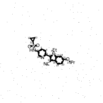 CCn1c(-c2ccc(NS(=O)(=O)C3CC3)cn2)c(C#N)c2ccc(OC(C)C)cc21